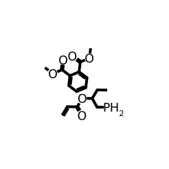 C=CC(=O)OC(CC)CP.COC(=O)c1ccccc1C(=O)OC